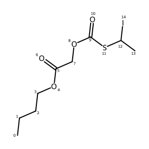 CCCCOC(=O)COC(=O)SC(C)I